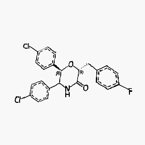 O=C1NC(c2ccc(Cl)cc2)[C@@H](c2ccc(Cl)cc2)O[C@@H]1Cc1ccc(F)cc1